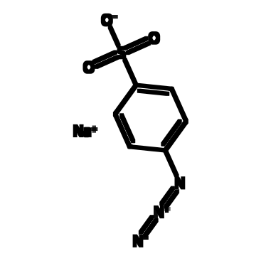 [N-]=[N+]=Nc1ccc(S(=O)(=O)[O-])cc1.[Na+]